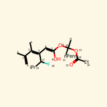 C=C(C)/C(C)=C(/C=C(\O)OC(C)(CCCCC)OC(=O)CC)C(F)C(C)C